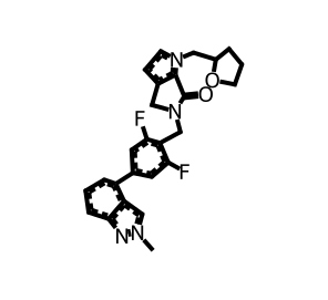 Cn1cc2c(-c3cc(F)c(CN4Cc5ccn(CC6CCCO6)c5C4=O)c(F)c3)cccc2n1